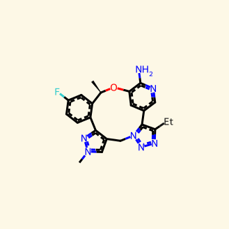 CCc1nnn2c1-c1cnc(N)c(c1)O[C@H](C)c1cc(F)ccc1-c1nn(C)cc1C2